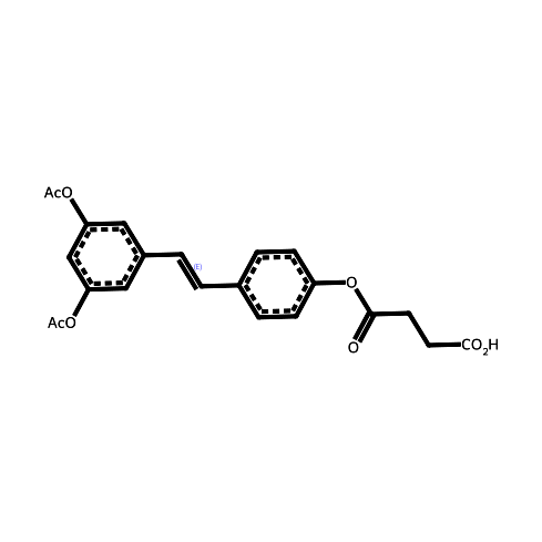 CC(=O)Oc1cc(/C=C/c2ccc(OC(=O)CCC(=O)O)cc2)cc(OC(C)=O)c1